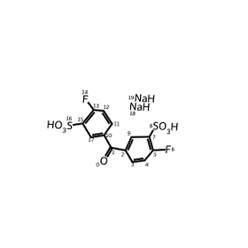 O=C(c1ccc(F)c(S(=O)(=O)O)c1)c1ccc(F)c(S(=O)(=O)O)c1.[NaH].[NaH]